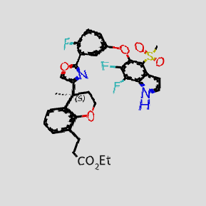 CCOC(=O)CCc1cccc2c1OCC[C@]2(C)c1coc(-c2cc(Oc3c(F)c(F)c4[nH]ccc4c3S(C)(=O)=O)ccc2F)n1